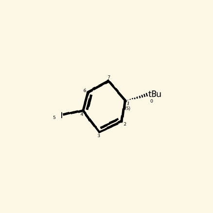 CC(C)(C)[C@@H]1C=CC(I)=CC1